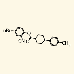 CCCCc1ccc(OC(=O)C2CCC(c3ccc(C)cc3)CC2)c(C#N)c1